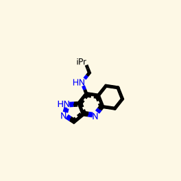 CC(C)CNc1c2c(nc3cn[nH]c13)CCCC2